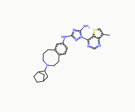 Cc1csc2c(-n3nc(Nc4ccc5c(c4)CCCN(C4CC6CCC4C6)CC5)nc3N)ncnc12